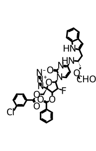 [N-]=[N+]=N[C@]1(COC(=O)c2cccc(Cl)c2)OC(n2ccc(N[C@@H](COC=O)Cc3cc4ccccc4[nH]3)nc2=O)[C@@H](F)C1OC(=O)c1ccccc1